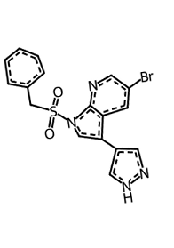 O=S(=O)(Cc1ccccc1)n1cc(-c2cn[nH]c2)c2cc(Br)cnc21